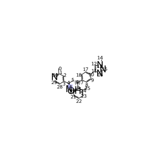 Cc1cc(/C(C[C@H](c2ccc(-c3cn(C)nn3)cc2)c2ccccc2C)=N/O)ccn1